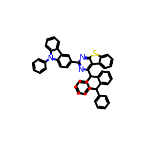 c1ccc(-n2c3ccccc3c3cc(-c4nc(C56c7ccccc7C(c7ccccc7)(c7ccccc75)c5ccccc56)c5c(n4)sc4ccccc45)ccc32)cc1